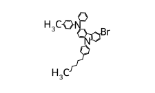 CCCCCCc1ccc(-n2c3ccc(Br)cc3c3cc(N(c4ccccc4)c4ccc(C)cc4)ccc32)cc1